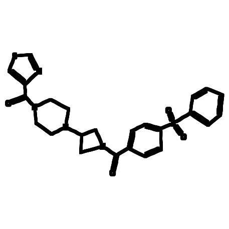 O=C(c1ccc(S(=O)(=O)c2ccccc2)cc1)N1CC(N2CCN(C(=O)c3cscn3)CC2)C1